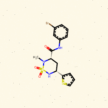 CN1[C@H](C(=O)Nc2cccc(Br)c2)C[C@H](c2cccs2)NS1(=O)=O